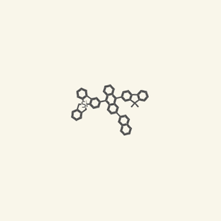 CC1(C)c2ccccc2-c2ccc(-c3c4ccccc4c(-c4ccc5c(c4)-c4ccccc4[Si]54Cc5ccccc5C4)c4ccc(-c5ccc6ccccc6c5)cc34)cc21